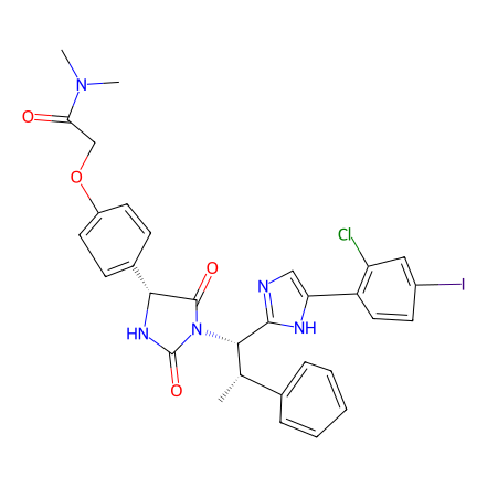 C[C@@H](c1ccccc1)[C@@H](c1ncc(-c2ccc(I)cc2Cl)[nH]1)N1C(=O)N[C@H](c2ccc(OCC(=O)N(C)C)cc2)C1=O